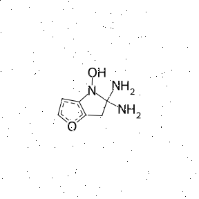 NC1(N)Cc2occc2N1O